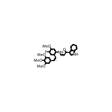 COc1cc(N/C=C\C(=O)c2c[nH]c3ccccc23)c(/C=C\c2cc(OC)c(OC)c(OC)c2)cc1F